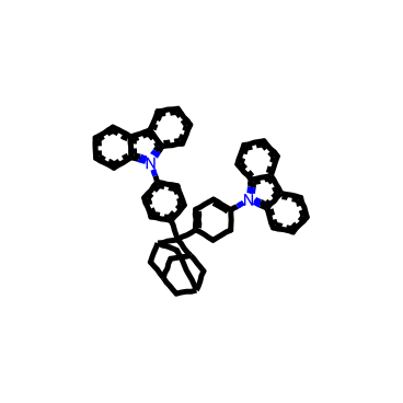 C1=C(n2c3ccccc3c3ccccc32)CCC(C2(c3ccc(-n4c5ccccc5c5ccccc54)cc3)C3CC4CC(C3)CC2C4)=C1